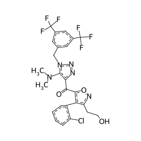 CN(C)c1c(C(=O)c2onc(CCO)c2-c2ccccc2Cl)nnn1Cc1cc(C(F)(F)F)cc(C(F)(F)F)c1